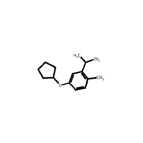 Cc1ccc(OC2CCCC2)cc1C(C)C